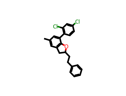 Cc1cc2c(c(-c3ccc(Cl)cc3Cl)c1)OC(CCc1ccccc1)C2